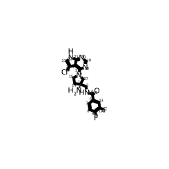 N[C@]1(CNC(=O)c2ccc(F)c(F)c2)CCN(c2ncnc3[nH]cc(Cl)c23)C1